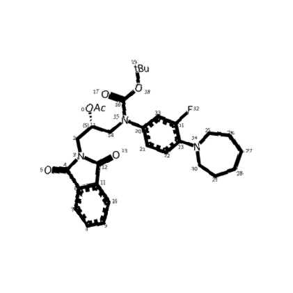 CC(=O)O[C@@H](CN1C(=O)c2ccccc2C1=O)CN(C(=O)OC(C)(C)C)c1ccc(N2CCCCCC2)c(F)c1